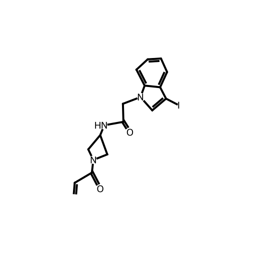 C=CC(=O)N1CC(NC(=O)Cn2cc(I)c3ccccc32)C1